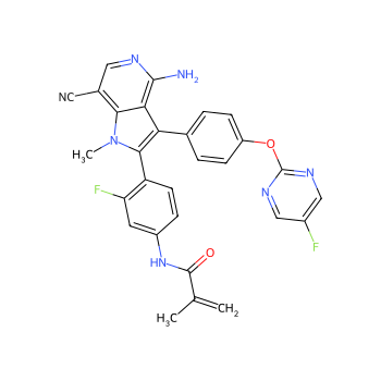 C=C(C)C(=O)Nc1ccc(-c2c(-c3ccc(Oc4ncc(F)cn4)cc3)c3c(N)ncc(C#N)c3n2C)c(F)c1